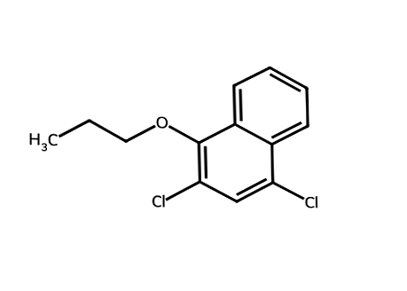 CCCOc1c(Cl)cc(Cl)c2ccccc12